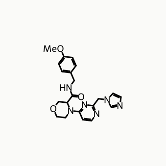 COc1ccc(CNC(=O)C2COCCN2c2ccnc(Cn3ccnc3)n2)cc1